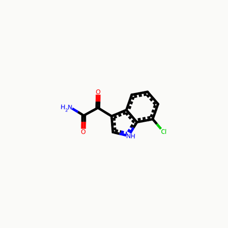 NC(=O)C(=O)c1c[nH]c2c(Cl)cccc12